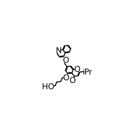 CC(C)c1cc(=O)c2c(OCCCCO)cc(COc3ccnc4ccccc34)cc2o1